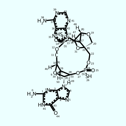 Nc1nc2c(ncn2[C@@H]2O[C@@H]3CO[P@](=O)(S)O[C@H]4[C@H]5OC[C@]4(CO[P@](=O)(S)O[C@@H]2[C@@H]3F)O[C@H]5n2cnc3c(N)ncnc32)c(=O)[nH]1